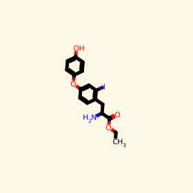 CCOC(=O)C(N)Cc1ccc(Oc2ccc(O)cc2)cc1I